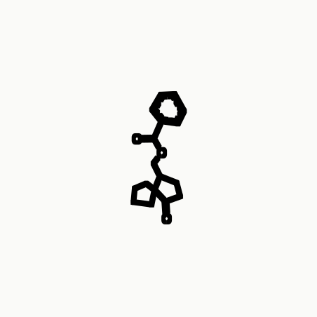 O=C(OCC1CCC(=O)C12CCCC2)c1ccccc1